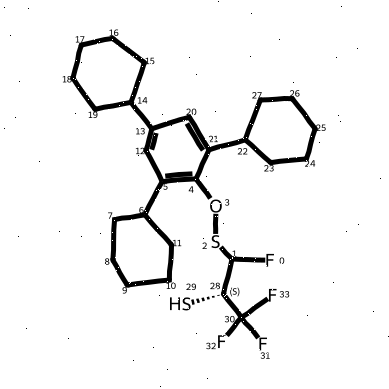 FC(SOc1c(C2CCCCC2)cc(C2CCCCC2)cc1C1CCCCC1)[C@@H](S)C(F)(F)F